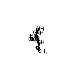 Cc1cccc(/C=N/Nc2nc(N3CCOCC3)c3[nH]c(C(=O)NC4CCNC4)cc3n2)c1